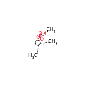 CCCCc1cccc(OP(=O)(O)CCCC)c1CCCC